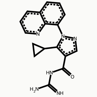 N=C(N)NC(=O)c1cnn(-c2cccc3cccnc23)c1C1CC1